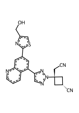 N#CC[C@]1(n2ncc(-c3cc(-c4nc(CO)cs4)cc4ncccc34)n2)C[C@@H](C#N)C1